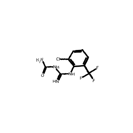 N=C(NC(N)=O)Nc1c(Cl)cccc1C(F)(F)F